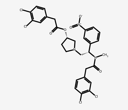 CN(C(=O)Cc1ccc(Cl)c(Cl)c1)[C@H](CN1CC[C@H](OC(=O)Cc2ccc(Cl)c(Cl)c2)C1)c1cccc([N+](=O)[O-])c1